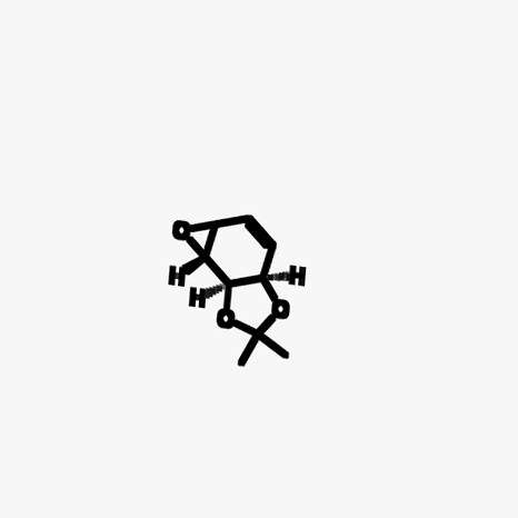 CC1(C)O[C@H]2[C@@H]3OC3C=C[C@H]2O1